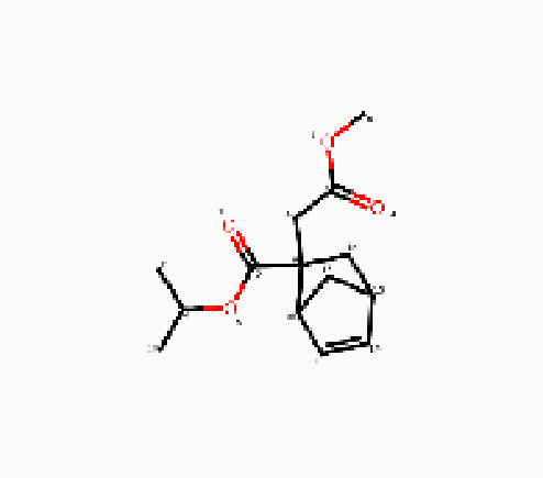 COC(=O)CC1(C(=O)OC(C)C)CC2C=CC1C2